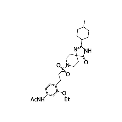 CCOc1cc(NC(C)=O)ccc1CCS(=O)(=O)N1CCC2(CC1)N=C(C1CCC(C)CC1)NC2=O